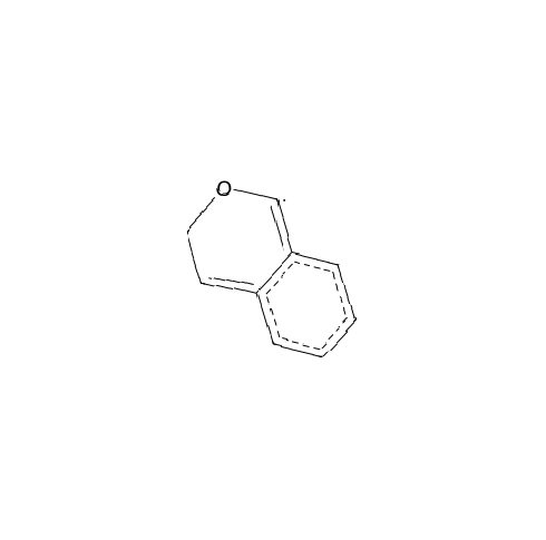 [C]1=c2ccccc2=CCO1